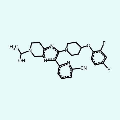 CC(O)N1CCc2nc(N3CCC(Oc4ccc(F)cc4F)CC3)c(-c3cccc(C#N)n3)nc2C1